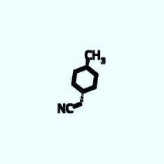 C[C@H]1CC[C@H](CC#N)CC1